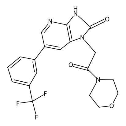 O=C(Cn1c(=O)[nH]c2ncc(-c3cccc(C(F)(F)F)c3)cc21)N1CCOCC1